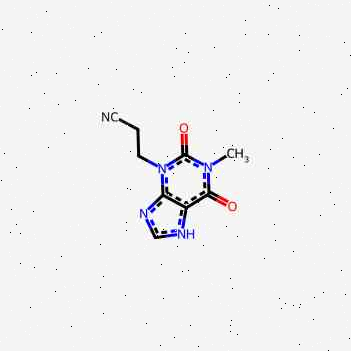 Cn1c(=O)c2[nH]cnc2n(CCC#N)c1=O